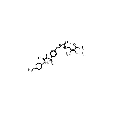 C=C(NCCc1ccc(S(=C)(=O)NC(=C)NC2CCC(C)CC2)cc1)NC/C(C)=C(/CC)C(C)=O